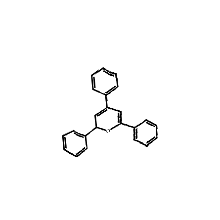 C1=C(c2ccccc2)C=C(c2ccccc2)OC1c1ccccc1